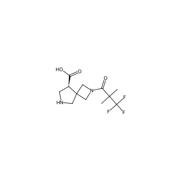 CC(C)(C(=O)N1CC2(CNC[C@H]2C(=O)O)C1)C(F)(F)F